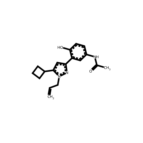 C=CCn1nc(-c2cc(NC(C)=O)ccc2O)cc1C1CCC1